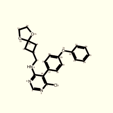 Clc1ncnc(NCC2CC3(C2)OCCO3)c1-c1ccc(Oc2ccccc2)cc1